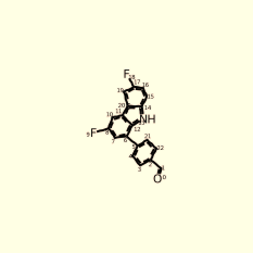 O=Cc1ccc(-c2cc(F)cc3c2[nH]c2ccc(F)cc23)cc1